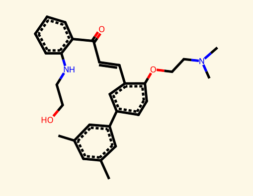 Cc1cc(C)cc(-c2ccc(OCCN(C)C)c(C=CC(=O)c3ccccc3NCCO)c2)c1